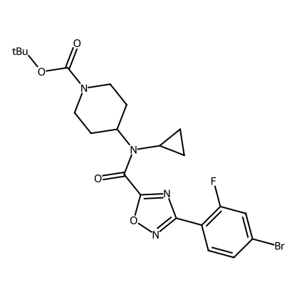 CC(C)(C)OC(=O)N1CCC(N(C(=O)c2nc(-c3ccc(Br)cc3F)no2)C2CC2)CC1